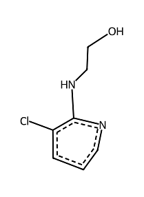 OCCNc1ncccc1Cl